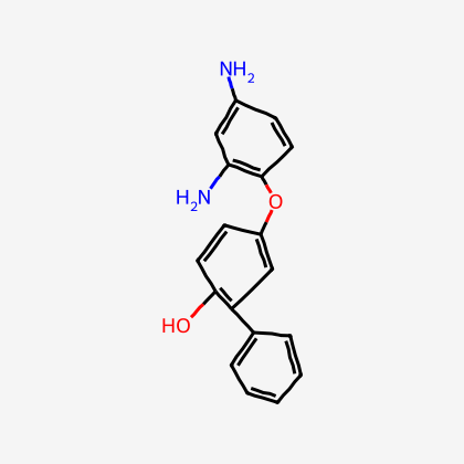 Nc1ccc(Oc2ccc(O)c(-c3ccccc3)c2)c(N)c1